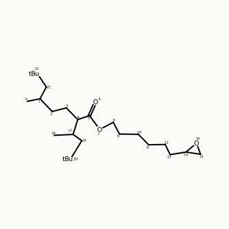 CC(CCC(C(=O)OCCCCCCC1CO1)C(C)CC(C)(C)C)CC(C)(C)C